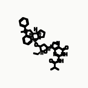 CC[C@H]1O[C@@H](n2cnc3c(=O)[nH]c(NC(=O)C(C)C)nc32)CC1O[P@]1O[C@@H](C[Si](C)(c2ccccc2)c2ccccc2)[C@H]2CCCN21